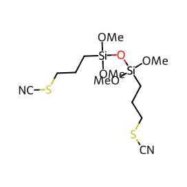 CO[Si](CCCSC#N)(OC)O[Si](CCCSC#N)(OC)OC